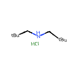 CC(C)(C)CNCC(C)(C)C.Cl